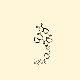 CC(C)(C)OC(=O)N1CCN(Cc2nnc(-c3cnc(Nc4ccc5c(c4)CCNC5=O)nc3NC(CO)c3ccccc3)o2)CC1